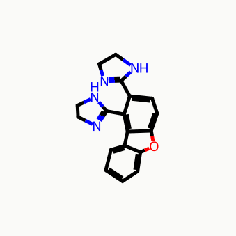 c1ccc2c(c1)oc1ccc(C3=NCCN3)c(C3=NCCN3)c12